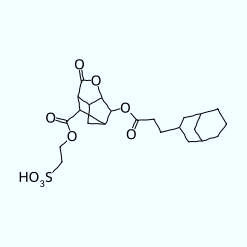 O=C(CCC1CC2CCCC(C2)C1)OC1C2CC3C1OC(=O)C3C2C(=O)OCCS(=O)(=O)O